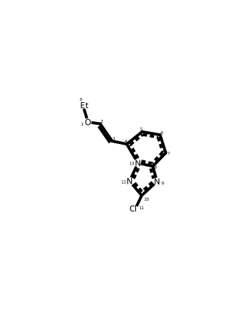 CCOC=Cc1cccc2nc(Cl)nn12